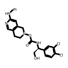 CC(C)Nc1cc2c(cn1)CCN(OC(=O)N[C@H](CO)c1ccc(Cl)c(Cl)c1)C2